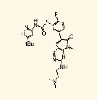 CN(C)CCNc1ncc2cc(-c3ccc(F)c(NC(=O)Nc4cc(C(C)(C)C)on4)c3)c(=O)n(C)c2n1